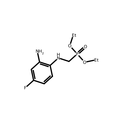 CCOP(=O)(CNc1ccc(F)cc1N)OCC